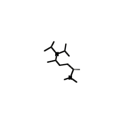 CC(CCC(C)N(C(C)C)C(C)C)N(C)C